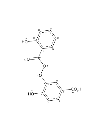 O=C(O)c1ccc(O)c(OOC(=O)c2ccccc2O)c1